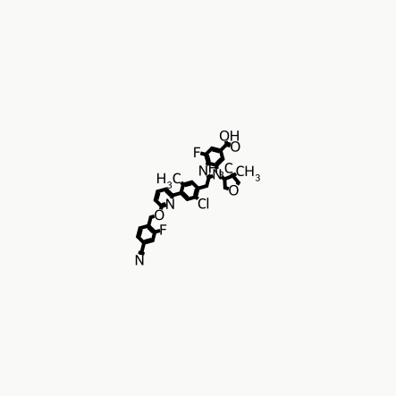 Cc1cc(Cc2nc3c(F)cc(C(=O)O)cc3n2C2COCC2(C)C)c(Cl)cc1-c1cccc(OCc2ccc(C#N)cc2F)n1